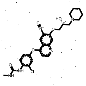 [C-]#[N+]c1cc2c(Oc3ccc(NC(=O)NC)c(Cl)c3)ccnc2cc1OC[C@H](O)CN1CCCCC1